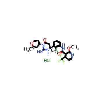 COc1nccc(C(F)(F)F)c1C(=O)Nc1cccc([C@]2(C)CC(=O)N([C@@H]3CCO[C@H](C)C3)C(=N)N2)c1Cl.Cl